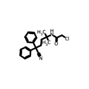 CC(C)(CCC(C#N)(c1ccccc1)c1ccccc1)NC(=O)CCl